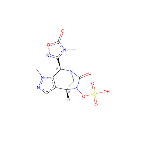 Cn1ncc2c1[C@@H](c1noc(=O)n1C)N1C[C@@H]2N(OS(=O)(=O)O)C1=O